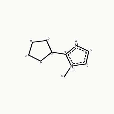 Cn1[c]cnc1C1CCCC1